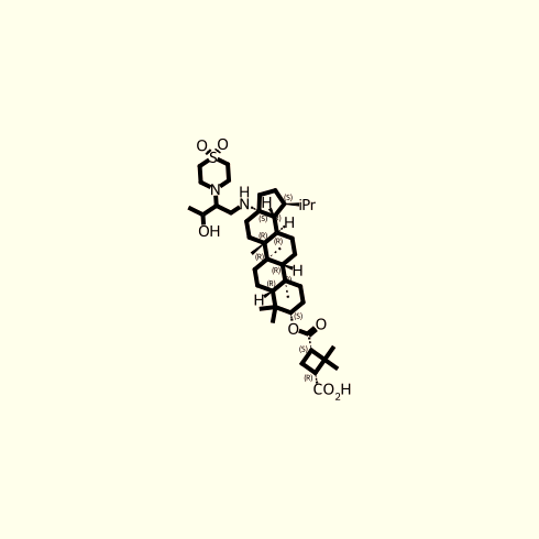 CC(O)C(CN[C@]12CC[C@@H](C(C)C)[C@@H]1[C@H]1CC[C@@H]3[C@@]4(C)CC[C@H](OC(=O)[C@H]5C[C@@H](C(=O)O)C5(C)C)C(C)(C)[C@@H]4CC[C@@]3(C)[C@]1(C)CC2)N1CCS(=O)(=O)CC1